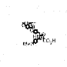 C=C(N[C@@H](Cc1ccc(OC(=O)c2ccc(OCCCCCCC)cc2)cc1)C(=O)NCC(=O)O)c1ccc(OC)cc1